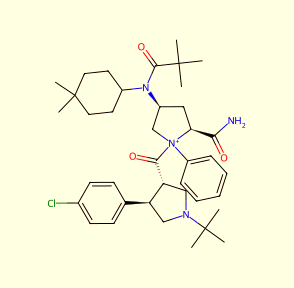 CC1(C)CCC(N(C(=O)C(C)(C)C)[C@H]2C[C@@H](C(N)=O)[N+](C(=O)[C@@H]3CN(C(C)(C)C)C[C@H]3c3ccc(Cl)cc3)(c3ccccc3)C2)CC1